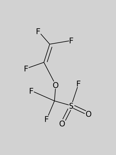 O=S(=O)(F)C(F)(F)OC(F)=C(F)F